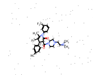 CC(=O)C1=C(C)N(c2cccc(C(F)(F)F)c2)C(=O)C(C(=O)N2CCN(CCN(C)C)CC2)C1c1ccc(C#N)cc1